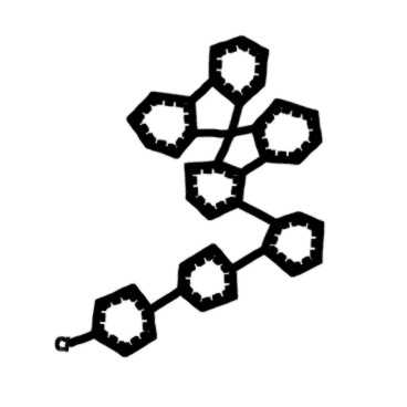 Clc1ccc(-c2ccc(-c3ccccc3-c3cccc4c3-c3ccccc3C43c4ccccc4-c4ccccc43)cc2)cc1